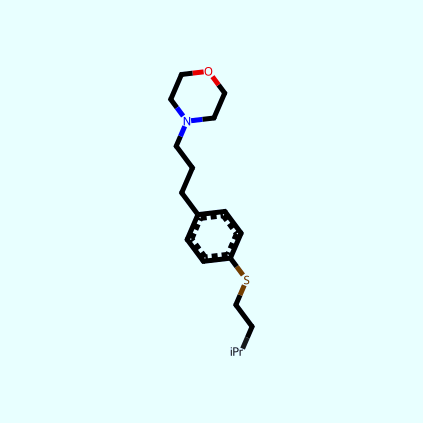 CC(C)CCSc1ccc(CCCN2CCOCC2)cc1